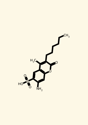 CCCCCCc1c(C)c2cc(S(=O)(=O)O)c(N)cc2oc1=O